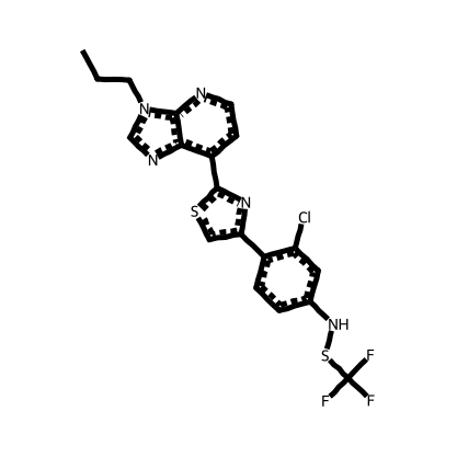 CCCn1cnc2c(-c3nc(-c4ccc(NSC(F)(F)F)cc4Cl)cs3)ccnc21